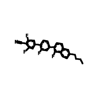 CCCCc1ccc2c(F)c(-c3ccc(-c4cc(F)c(C#N)c(F)c4)c(F)c3)ccc2c1